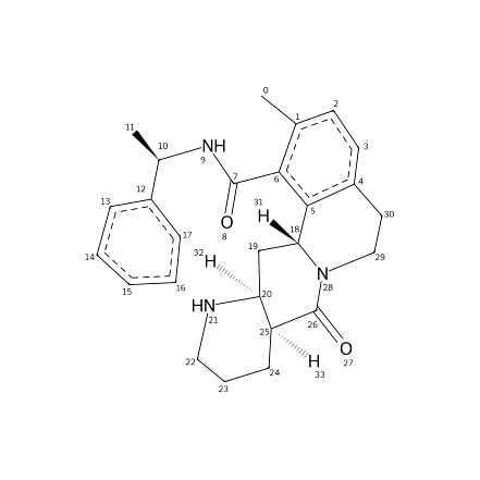 Cc1ccc2c(c1C(=O)N[C@H](C)c1ccccc1)[C@H]1C[C@@H]3NCCC[C@@H]3C(=O)N1CC2